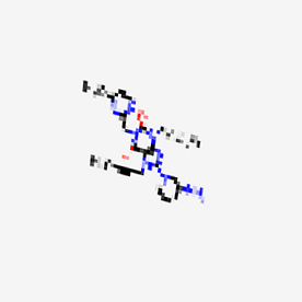 CC#CCn1c(N2CCCC(N)C2)nc2c1c(=O)n(Cc1nccc(C)n1)c(=O)n2CC(=O)OCC